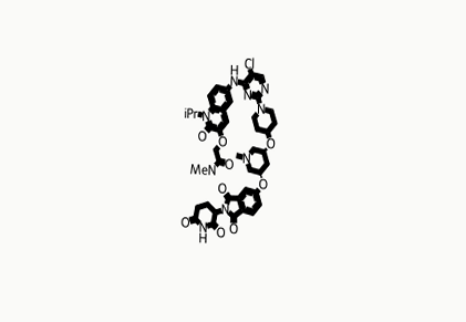 CNC(=O)COc1cc2cc(Nc3nc(N4CCC(O[C@H]5C[C@H](Oc6ccc7c(c6)C(=O)N(C6CCC(=O)NC6=O)C7=O)CN(C)C5)CC4)ncc3Cl)ccc2n(C(C)C)c1=O